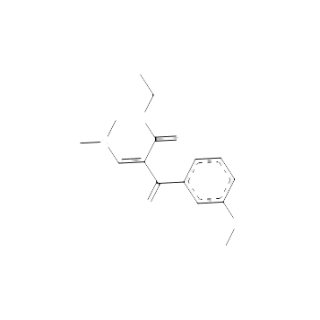 CCOC(=O)C(=CN(C)C)C(=O)c1cccc(OC)c1